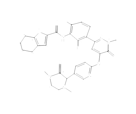 Cc1ccc(-c2cc(Nc3ccc(C4C(=O)N(C)CCN4C)cn3)c(=O)n(C)n2)c(F)c1NC(=O)c1cc2c(s1)CCCC2